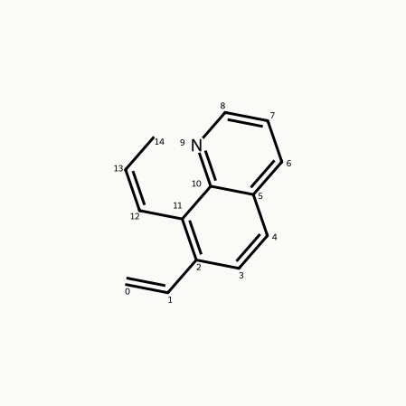 C=Cc1ccc2cccnc2c1/C=C\C